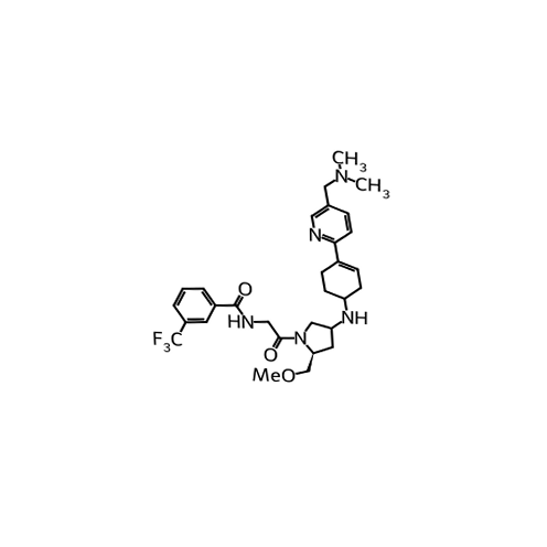 COC[C@@H]1CC(NC2CC=C(c3ccc(CN(C)C)cn3)CC2)CN1C(=O)CNC(=O)c1cccc(C(F)(F)F)c1